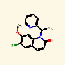 COc1cc2c(ccc(=O)n2C(C)c2ccccn2)cc1Br